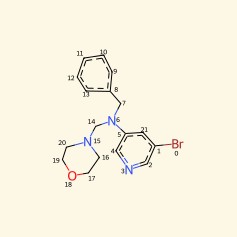 Brc1cncc(N(Cc2ccccc2)CN2CCOCC2)c1